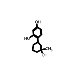 CC1(O)CCCC(c2ccc(O)cc2O)C1